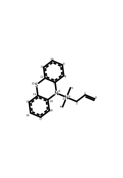 C=CC[N+](C)(C)N1c2ccccc2Sc2ccccc21